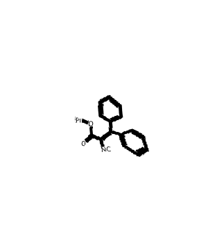 [C-]#[N+]C(C(=O)OC(C)C)=C(c1ccccc1)c1ccccc1